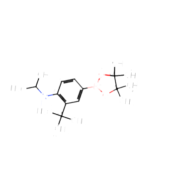 CC(C)Nc1ccc(B2OC(C)(C)C(C)(C)O2)cc1C(C)(C)C